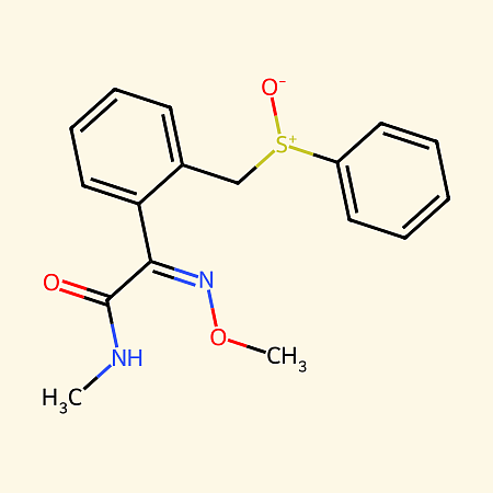 CNC(=O)/C(=N\OC)c1ccccc1C[S+]([O-])c1ccccc1